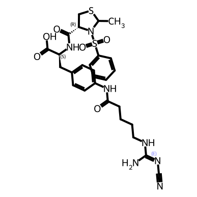 CC1SC[C@@H](C(=O)N[C@@H](Cc2ccc(NC(=O)CCCCN/C(N)=N/C#N)cc2)C(=O)O)N1S(=O)(=O)c1ccccc1